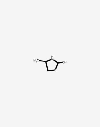 C[C@@H]1COC(O)N1